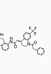 O=C(/C=C1\CCN(C(=O)Cc2ccccc2)c2cc(C(F)(F)F)ccc21)Nc1cccc2c1CC(O)CC2